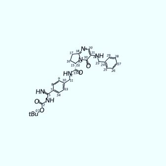 CC(C)(C)OC(=O)NC(=N)c1ccc(CNC(=O)[C@@H]2CCc3ncc(NCc4ccccc4)c(=O)n32)cc1